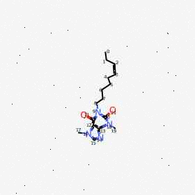 CC/C=C\CCCCCn1c(=O)c2c(ncn2C)n(C)c1=O